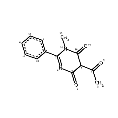 CC(=O)C1C(=O)N=C(c2ccccc2)N(C)C1=O